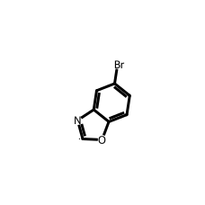 Brc1ccc2o[c]nc2c1